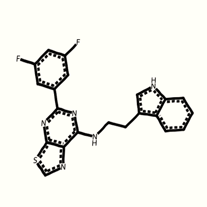 Fc1cc(F)cc(-c2nc(NCCc3c[nH]c4ccccc34)c3ncsc3n2)c1